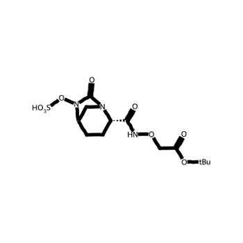 CC(C)(C)OC(=O)CONC(=O)[C@@H]1CCC2CN1C(=O)N2OS(=O)(=O)O